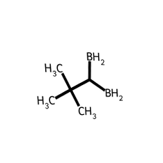 BC(B)C(C)(C)C